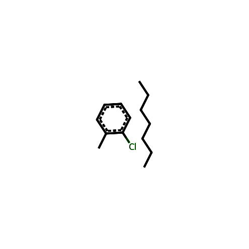 CCCCCCC.Cc1ccccc1Cl